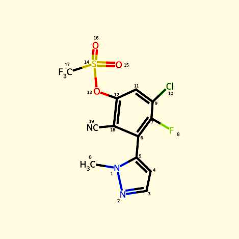 Cn1nccc1-c1c(F)c(Cl)cc(OS(=O)(=O)C(F)(F)F)c1C#N